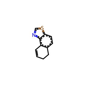 C1=Cc2c(ccc3scnc23)CC1